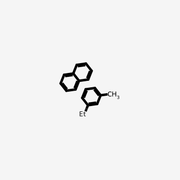 CCc1cccc(C)c1.c1ccc2ccccc2c1